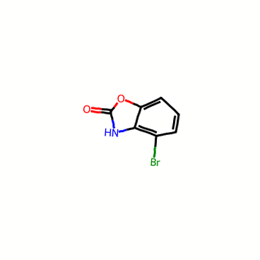 O=c1[nH]c2c(Br)cccc2o1